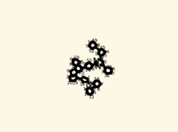 C1=CC(n2c3ccccc3c3ccccc32)C=C1c1cccc2c1-c1cc(-c3ccc(-c4nc(-c5ccccc5)cc(-c5cccc(-c6ccccc6)c5)n4)cc3)c3ccccc3c1C2